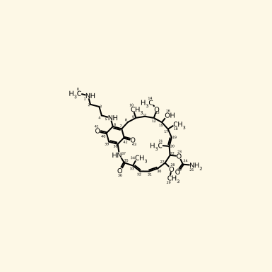 CNCCCNC1=C2CC(C)CC(OC)C(O)C(C)/C=C(\C)C(OC(N)=O)C(OC)/C=C\C=C(/C)C(=O)NC(=CC1=O)C2=O